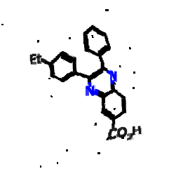 CCc1ccc(-c2nc3cc(C(=O)O)ccc3nc2-c2ccccc2)cc1